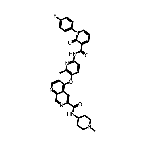 Cc1nc(NC(=O)c2cccn(-c3ccc(F)cc3)c2=O)ccc1Oc1ccnc2cnc(C(=O)NC3CCN(C)CC3)cc12